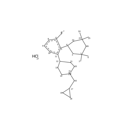 CC1(C)CC(c2c(F)cccc2C2CCN(CC3CC3)CC2)CC(C)(C)C1.Cl